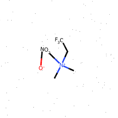 C[N+](C)(C)CC(F)(F)F.O=[N+]([O-])[O-]